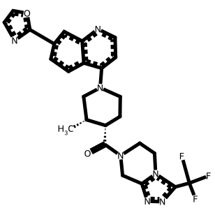 C[C@@H]1CN(c2ccnc3cc(-c4ncco4)ccc23)CC[C@@H]1C(=O)N1CCn2c(nnc2C(F)(F)F)C1